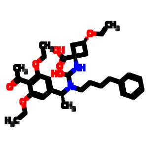 CCOc1cc([C@@H](C)N(CCCCc2ccccc2)C(O)N[C@]2(C(=O)O)C[C@@H](OCC)C2)cc(OCC)c1C(C)=O